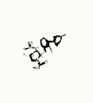 CC[S+]([O-])N[C@H]1[C@@H](F)CN(C(=O)NC)[C@H]1Cc1cccc(-c2ccc(F)cc2)c1F